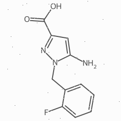 Nc1cc(C(=O)O)nn1Cc1ccccc1F